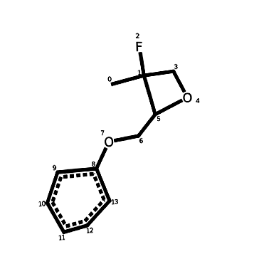 CC1(F)COC1COc1ccccc1